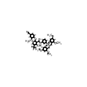 COc1ccc(CN(Cc2ccc(OC)cc2OC)S(=O)(=O)c2cccc(NC(=O)c3c(Oc4ccc(C#N)cc4OC)ncc(C(F)(F)F)c3C)c2)c(OC)c1